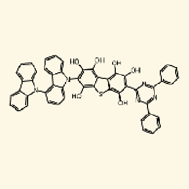 Oc1c(-c2nc(-c3ccccc3)nc(-c3ccccc3)n2)c(O)c2sc3c(O)c(-n4c5ccccc5c5c(-n6c7ccccc7c7ccccc76)cccc54)c(O)c(O)c3c2c1O